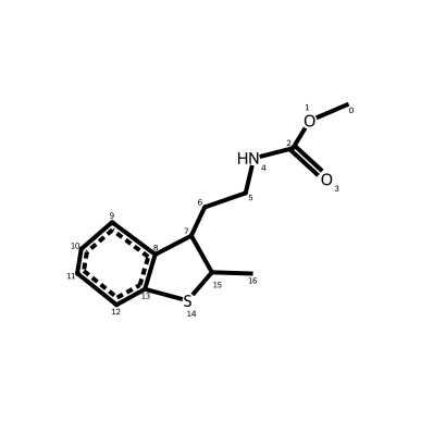 COC(=O)NCCC1c2ccccc2SC1C